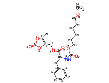 Cc1oc(=O)oc1COC(=O)C(Cc1ccccc1)NC(=O)OCCCCCCO[N+](=O)[O-]